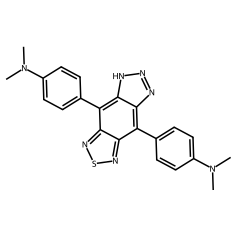 CN(C)c1ccc(-c2c3nsnc3c(-c3ccc(N(C)C)cc3)c3[nH]nnc23)cc1